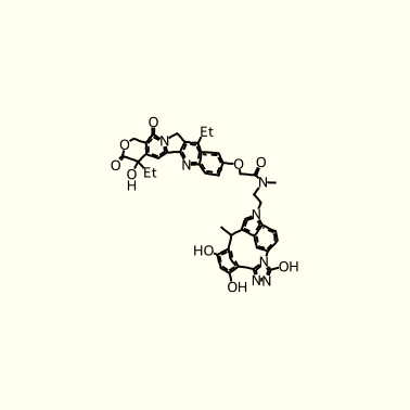 CCc1c2c(nc3ccc(OCC(=O)N(C)CCn4cc5c6cc(ccc64)-n4c(O)nnc4-c4cc(c(O)cc4O)C5C)cc13)-c1cc3c(c(=O)n1C2)COC(=O)C3(O)CC